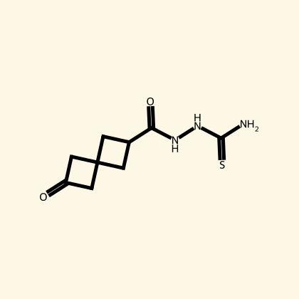 NC(=S)NNC(=O)C1CC2(CC(=O)C2)C1